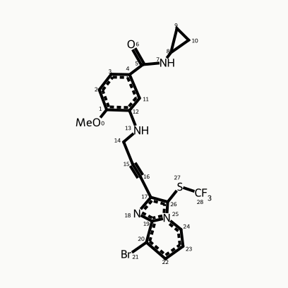 COc1ccc(C(=O)NC2CC2)cc1NCC#Cc1nc2c(Br)cccn2c1SC(F)(F)F